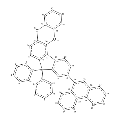 c1ccc(C2(c3ccccc3)c3cc(-c4cc5cccnc5c5ncccc45)ccc3-c3c2ccc2c3Oc3ccccc3O2)cc1